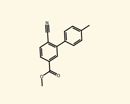 COC(=O)c1ccc(C#N)c(-c2ccc(C)cc2)c1